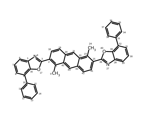 Cc1c(-c2nc3cccc(-c4ccccc4)c3o2)ccc2cc3c(C)c(-c4nc5cccc(-c6ccccc6)c5o4)ccc3cc12